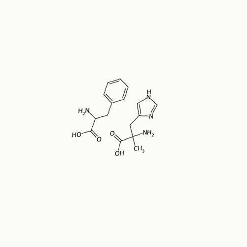 CC(N)(Cc1c[nH]cn1)C(=O)O.NC(Cc1ccccc1)C(=O)O